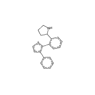 c1ccc(-c2ccsc2-c2ccccc2C2CCCN2)cc1